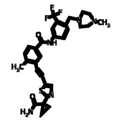 Cc1ccc(C(=O)Nc2ccc(CN3CCN(C)CC3)c(C(F)(F)F)c2)cc1C#Cc1cnc(C2(C(N)=O)CC2)s1